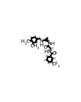 Cc1ccc(CN[C@H]2C[C@H]2NC(=O)CNC(=O)c2cccc(C(F)(F)F)c2)cc1C